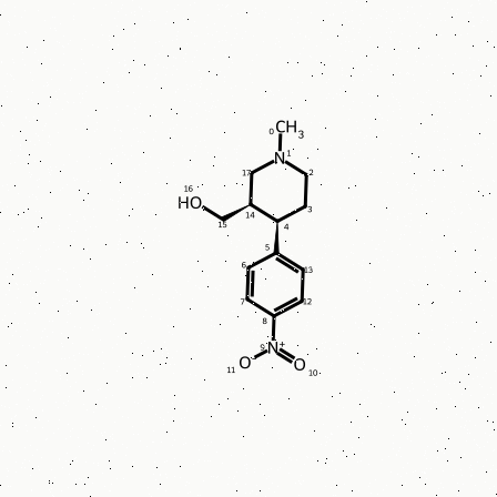 CN1CC[C@@H](c2ccc([N+](=O)[O-])cc2)[C@@H](CO)C1